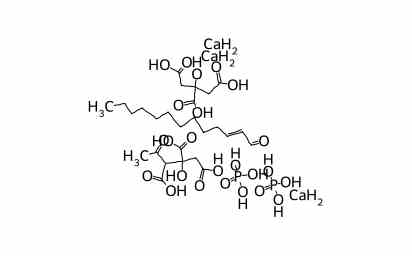 CC(=O)C(C(=O)O)C(O)(CC(=O)O)C(=O)O.CCCCCCCCCCC=CC=O.O=C(O)CC(O)(CC(=O)O)C(=O)O.O=P(O)(O)O.O=P(O)(O)O.[CaH2].[CaH2].[CaH2]